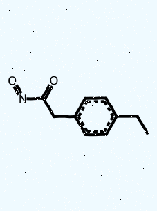 CCc1ccc(CC(=O)N=O)cc1